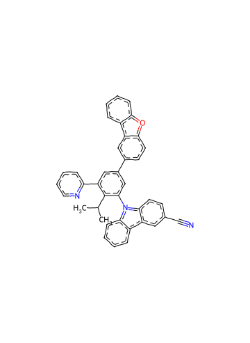 CC(C)c1c(-c2ccccn2)cc(-c2ccc3oc4ccccc4c3c2)cc1-n1c2ccccc2c2cc(C#N)ccc21